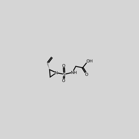 C=C[C@H]1CN1S(=O)(=O)NCC(=O)O